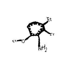 CCOc1ccc(CC)c(CC)c1N